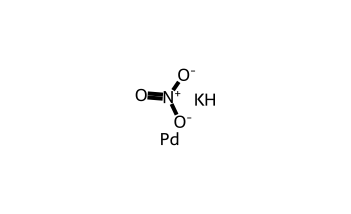 O=[N+]([O-])[O-].[KH].[Pd]